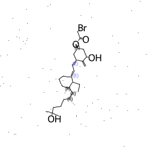 C=C1/C(=C\C=C2/CCC[C@@]3(C)C2CC[C@@H]3[C@H](C)CCCC(C)(C)O)C[C@@H](OC(=O)CBr)CC1O